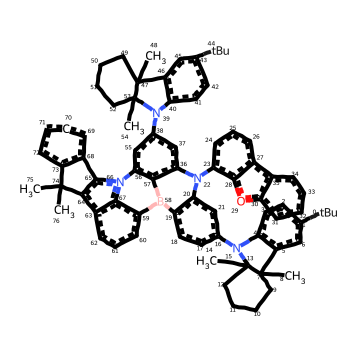 CC(C)(C)c1ccc2c(c1)C1(C)CCCCC1(C)N2c1ccc2c(c1)N(c1cccc3c1oc1ccccc13)c1cc(N3c4ccc(C(C)(C)C)cc4C4(C)CCCCC34C)cc3c1B2c1cccc2c4c(n-3c12)-c1ccccc1C4(C)C